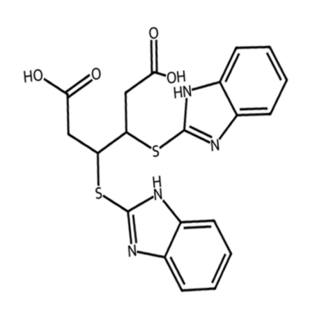 O=C(O)CC(Sc1nc2ccccc2[nH]1)C(CC(=O)O)Sc1nc2ccccc2[nH]1